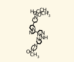 CC(=O)N1CCN(c2ccc(Nc3nccc(-c4cnc5ccc(C6=CCN(C(=O)OC(C)(C)C)CC6)cn45)n3)nc2)CC1